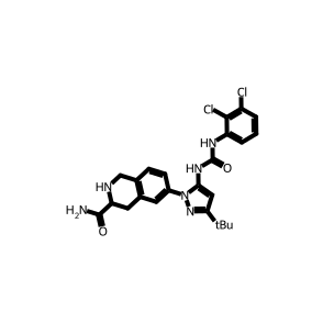 CC(C)(C)c1cc(NC(=O)Nc2cccc(Cl)c2Cl)n(-c2ccc3c(c2)CC(C(N)=O)NC3)n1